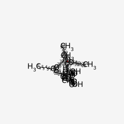 CCCCCCCCOc1ccc(CCC(=O)N[C@H]2[C@@H](OC)O[C@H](COS(=O)(=O)O)[C@@H](OS(=O)(=O)O)[C@@H]2OC(=O)CCc2ccc(OCCCCCCCC)c(OCCCCCCCC)c2)cc1OCCCCCCCC